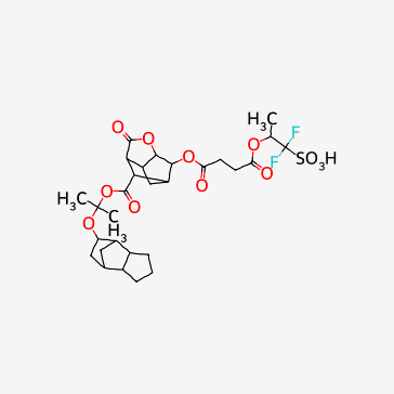 CC(OC(=O)CCC(=O)OC1C2CC3C1OC(=O)C3C2C(=O)OC(C)(C)OC1CC2CC1C1CCCC21)C(F)(F)S(=O)(=O)O